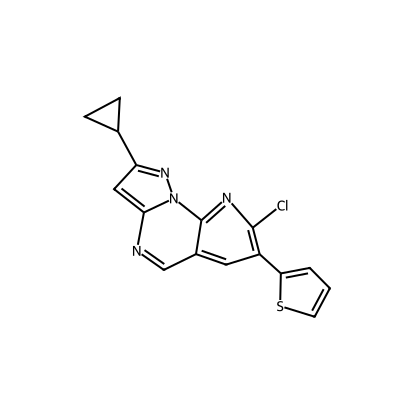 Clc1nc2c(cnc3cc(C4CC4)nn32)cc1-c1cccs1